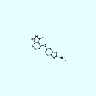 Cc1n[nH]c2nccc(Oc3ccc4nc(N)sc4c3)c12